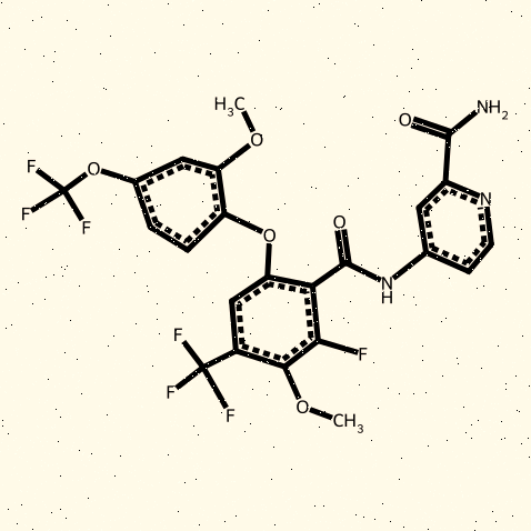 COc1cc(OC(F)(F)F)ccc1Oc1cc(C(F)(F)F)c(OC)c(F)c1C(=O)Nc1ccnc(C(N)=O)c1